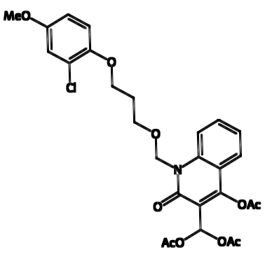 COc1ccc(OCCCOCn2c(=O)c(C(OC(C)=O)OC(C)=O)c(OC(C)=O)c3ccccc32)c(Cl)c1